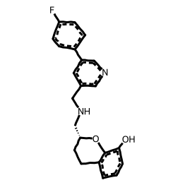 Oc1cccc2c1O[C@@H](CNCc1cncc(-c3ccc(F)cc3)c1)CC2